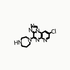 Clc1cnc2nc(N3CCCNCC3)c3nncn3c2c1